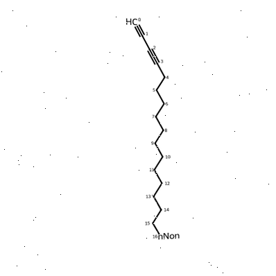 C#CC#CCCCCCCCCCCCCCCCCCCCCC